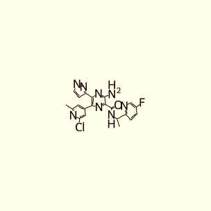 Cc1cc(-c2nc(C(=O)NC(C)c3ccc(F)cn3)c(N)nc2-c2ccn(C)n2)cc(Cl)n1